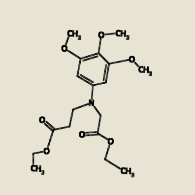 CCOC(=O)CCN(CC(=O)OCC)c1cc(OC)c(OC)c(OC)c1